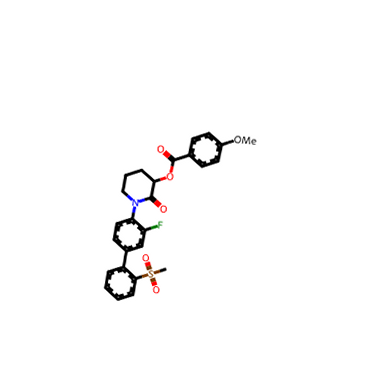 COc1ccc(C(=O)OC2CCCN(c3ccc(-c4ccccc4S(C)(=O)=O)cc3F)C2=O)cc1